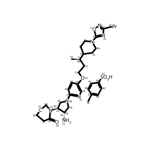 CC(C)c1noc(N2CCC([C@H](C)CCOc3ccc(N4C[C@H](N)[C@@H](N5CCCCC5=O)C4)nc3)CC2)n1.Cc1ccc(S(=O)(=O)O)cc1